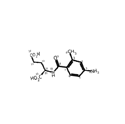 Cc1cc(N)ccc1C(=O)N[C@H](CCC(=O)O)C(=O)O